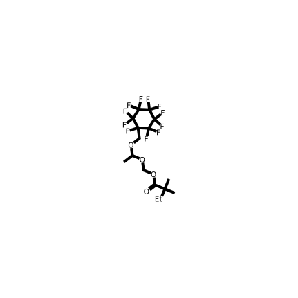 CCC(C)(C)C(=O)OCOC(C)OCC1(F)C(F)(F)C(F)(F)C(F)(F)C(F)(F)C1(F)F